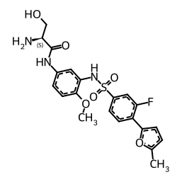 COc1ccc(NC(=O)[C@@H](N)CO)cc1NS(=O)(=O)c1ccc(-c2ccc(C)o2)c(F)c1